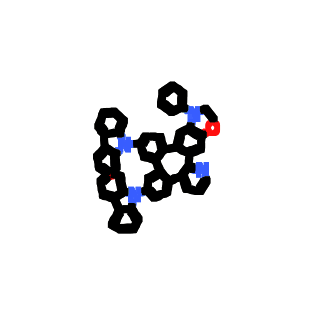 c1ccc(N2CCOc3cc4c(cc32)-c2ccc(-n3c5ccccc5c5ccccc53)cc2-c2cc(-n3c5ccccc5c5ccccc53)ccc2-c2cccnc2-4)cc1